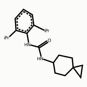 CC(C)c1cccc(C(C)C)c1NC(=O)NC1CCC2(CC1)CC2